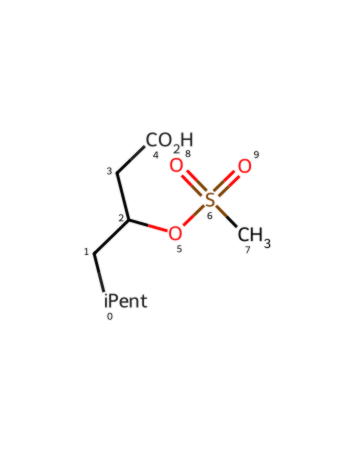 CCCC(C)CC(CC(=O)O)OS(C)(=O)=O